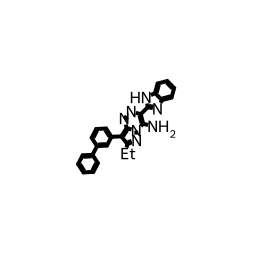 CCc1nn2c(N)c(-c3nc4ccccc4[nH]3)nnc2c1-c1cccc(-c2ccccc2)c1